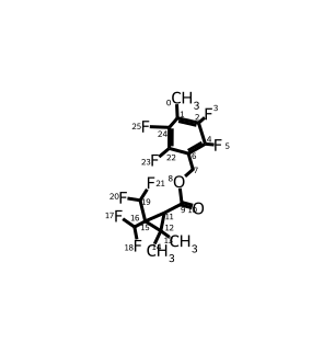 Cc1c(F)c(F)c(COC(=O)C2C(C)(C)C2(C(F)F)C(F)F)c(F)c1F